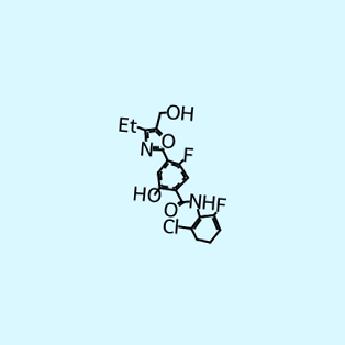 CCc1nc(-c2cc(O)c(C(=O)NC3=C(Cl)CCC=C3F)cc2F)oc1CO